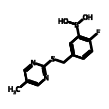 Cc1cnc(SCc2ccc(F)c(B(O)O)c2)nc1